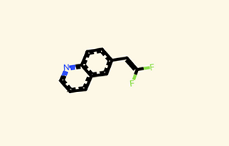 FC(F)=Cc1ccc2nc[c]cc2c1